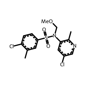 COCN(c1cc(Cl)cnc1C)S(=O)(=O)c1ccc(Cl)c(C)c1